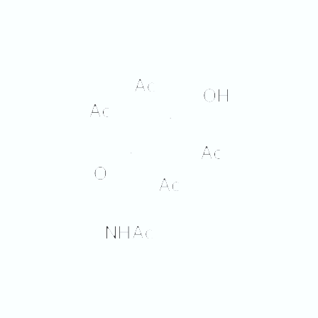 CC(=O)NOC(C(C)=O)(C(C)=O)C(O)(C(C)=O)C(C)=O